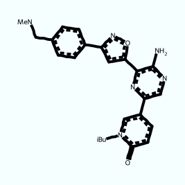 CCC(C)n1cc(-c2cnc(N)c(-c3cc(-c4ccc(CNC)cc4)no3)n2)ccc1=O